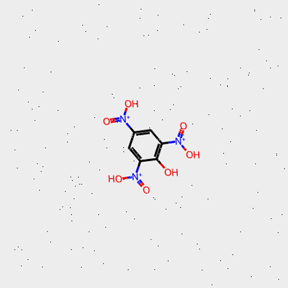 O=[N+](O)c1cc([N+](=O)O)c(O)c([N+](=O)O)c1